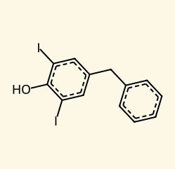 Oc1c(I)cc(Cc2ccccc2)cc1I